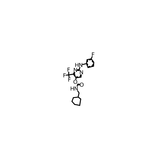 O=C(NCC1CCCCC1)Oc1cnc(Nc2cccc(F)c2)nc1C(F)(F)F